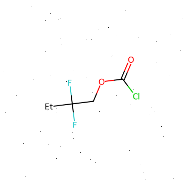 CCC(F)(F)COC(=O)Cl